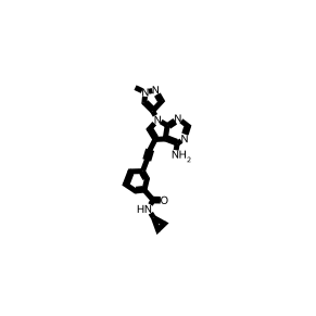 Cn1cc(-n2cc(C#Cc3cccc(C(=O)NC4CC4)c3)c3c(N)ncnc32)cn1